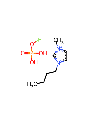 CCCCn1cc[n+](C)c1.O=P(O)(O)OF